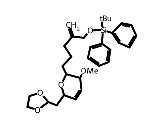 C=C(CCCC1OC(CC2OCCO2)C=CC1OC)CO[Si](c1ccccc1)(c1ccccc1)C(C)(C)C